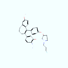 CCNc1ccc(C2=C(c3ccc(OC4CCN(CCCF)C4)cc3)c3ccc(OF)cc3CCC2)cc1O